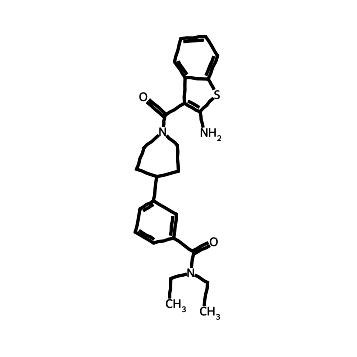 CCN(CC)C(=O)c1cccc(C2CCN(C(=O)c3c(N)sc4ccccc34)CC2)c1